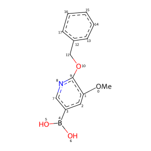 COc1cc(B(O)O)cnc1OCc1ccccc1